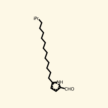 CC(C)CCCCCCCCCCCCc1ccc(C=O)[nH]1